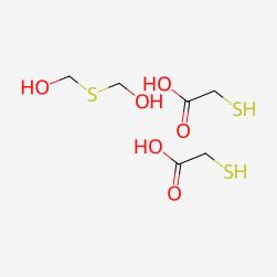 O=C(O)CS.O=C(O)CS.OCSCO